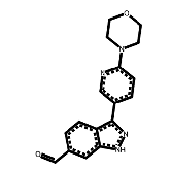 O=Cc1ccc2c(-c3ccc(N4CCOCC4)nc3)n[nH]c2c1